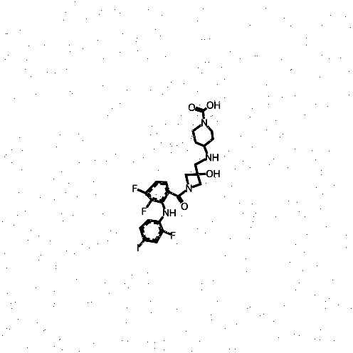 O=C(O)N1CCC(NCC2(O)CN(C(=O)c3ccc(F)c(F)c3Nc3ccc(I)cc3F)C2)CC1